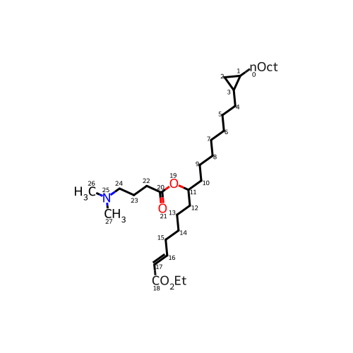 CCCCCCCCC1CC1CCCCCCCC(CCCC/C=C/C(=O)OCC)OC(=O)CCCN(C)C